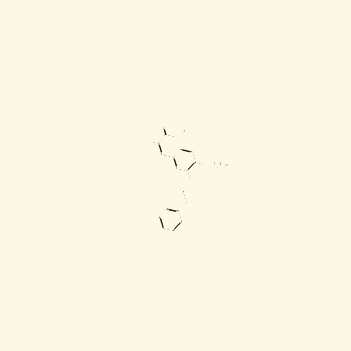 CCC(C)OC(=O)C(=Cc1ccc(OC)c(OCCc2ccccc2)c1)C(=O)O